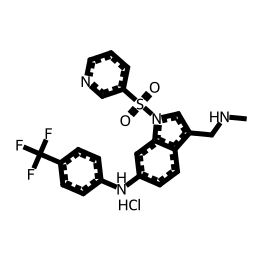 CNCc1cn(S(=O)(=O)c2cccnc2)c2cc(Nc3ccc(C(F)(F)F)cc3)ccc12.Cl